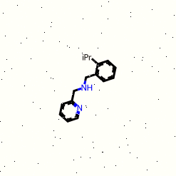 CC(C)c1ccccc1CNCc1ccccn1